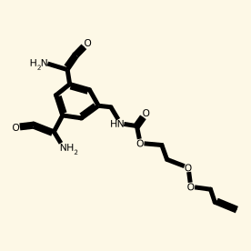 C=CCOOCCOC(=O)NCc1cc(C(N)=C=O)cc(C(N)=C=O)c1